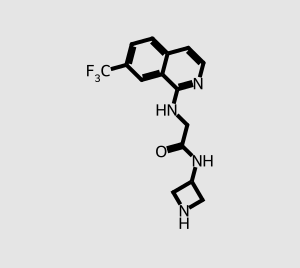 O=C(CNc1nccc2ccc(C(F)(F)F)cc12)NC1CNC1